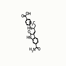 CCC(C=C1C(=O)Nc2cc(C(N)=O)ccc21)Nc1ccc(C(=O)O)cc1